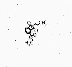 CCCN1C(=O)c2cccc(C(=O)OCC)c2C1=O